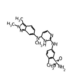 Cc1ccc(NC2=NC=CC(N(C)c3ccc4c(C)n(C)nc4c3)N2)cc1S(N)(=O)=O